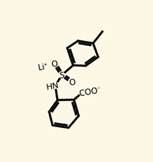 Cc1ccc(S(=O)(=O)Nc2ccccc2C(=O)[O-])cc1.[Li+]